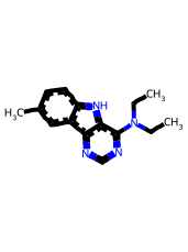 CCN(CC)c1ncnc2c1[nH]c1ccc(C)cc12